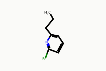 CCCc1cccc(Br)n1